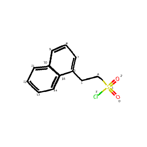 O=S(=O)(Cl)CCc1cccc2ccccc12